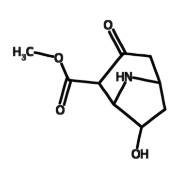 COC(=O)C1C(=O)CC2CC(O)C1N2